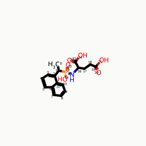 CC(c1cccc2ccccc12)P(=O)(O)NC(CCC(=O)O)C(=O)O